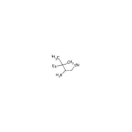 BC(CC(C)(C)C)C(C)(C)CC